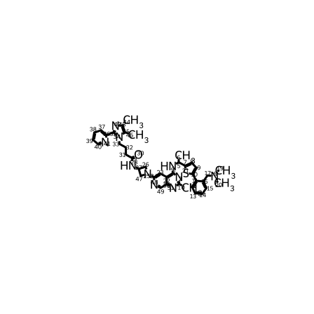 Cc1nc(NC(C)c2ccc(-c3ccccc3CN(C)C)s2)c2cc(N3CC(NC(=O)CCCn4c(-c5ccccn5)nc(C)c4C)C3)ncc2n1